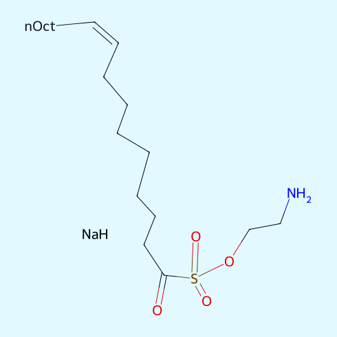 CCCCCCCC/C=C\CCCCCCCC(=O)S(=O)(=O)OCCN.[NaH]